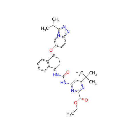 CCOC(=O)c1nc(NC(=O)N[C@H]2CC[C@@H](Oc3ccc4nnc(C(C)C)n4c3)c3ccccc32)cc(C(C)(C)C)n1